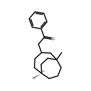 CC12CCC[C@@H](CCC(CC(=O)c3ccccc3)C1)CC2